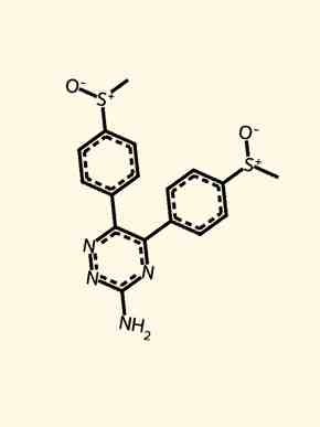 C[S+]([O-])c1ccc(-c2nnc(N)nc2-c2ccc([S+](C)[O-])cc2)cc1